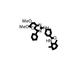 COc1cc2nc(Nc3ccc(C(=O)Nc4c(C)cccc4C)cc3)nc(-c3ccccc3)c2cc1OC